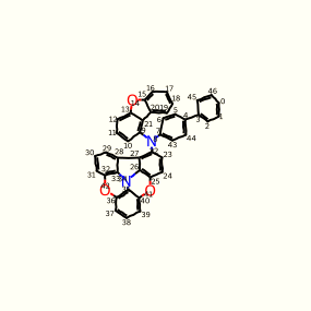 c1ccc(-c2ccc(N(c3cccc4oc5ccccc5c34)c3ccc4c5c3c3cccc6c3n5-c3c(cccc3O4)O6)cc2)cc1